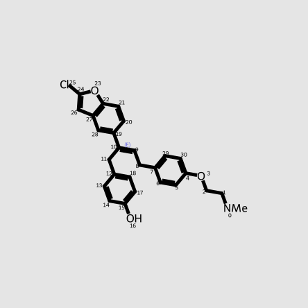 CNCCOc1ccc(C/C=C(\Cc2ccc(O)cc2)c2ccc3oc(Cl)cc3c2)cc1